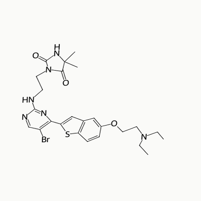 CCN(CC)CCOc1ccc2sc(-c3nc(NCCN4C(=O)NC(C)(C)C4=O)ncc3Br)cc2c1